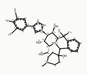 CN1CCC(O)(C(c2ccccc2C(F)(F)F)[SH]2C[C@H](O)[C@H](n3cc(-c4cc(F)c(F)c(F)c4)nn3)[C@@H](O)[C@H]2CO)CC1